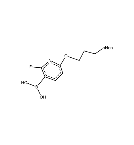 CCCCCCCCCCCCOc1ccc(B(O)O)c(F)n1